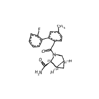 Cc1ccc(C(=O)N2C[C@H]3C[C@H]3[C@H]2C(N)=O)c(-c2ccccc2F)c1